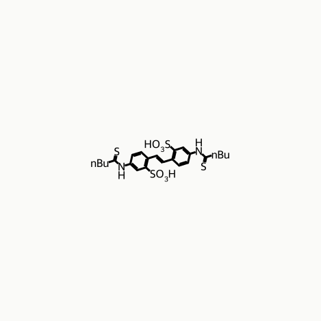 CCCCC(=S)Nc1ccc(C=Cc2ccc(NC(=S)CCCC)cc2S(=O)(=O)O)c(S(=O)(=O)O)c1